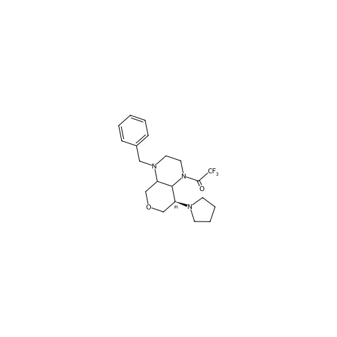 O=C(N1CCN(Cc2ccccc2)C2COC[C@H](N3CCCC3)C21)C(F)(F)F